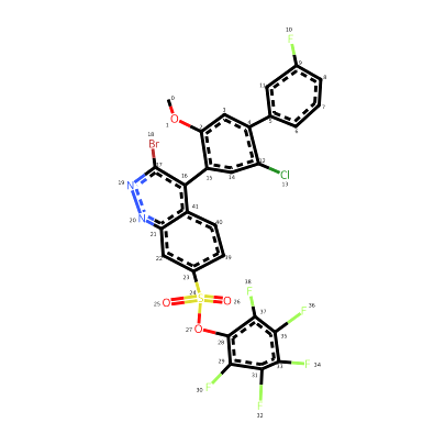 COc1cc(-c2cccc(F)c2)c(Cl)cc1-c1c(Br)nnc2cc(S(=O)(=O)Oc3c(F)c(F)c(F)c(F)c3F)ccc12